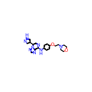 c1nc2c(Nc3ccc(OCCN4CCOCC4)cc3)ncc(-c3cn[nH]c3)n2n1